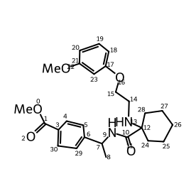 COC(=O)c1ccc(C(C)NC(=O)C2(NCCOc3cccc(OC)c3)CCCCC2)cc1